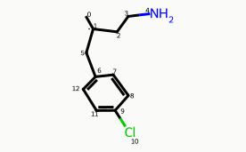 C[C](CCN)Cc1ccc(Cl)cc1